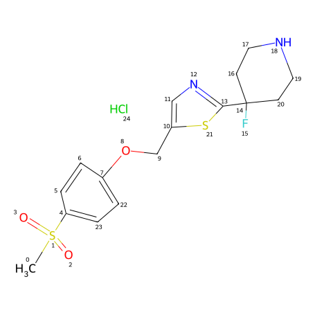 CS(=O)(=O)c1ccc(OCc2cnc(C3(F)CCNCC3)s2)cc1.Cl